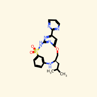 CC(C)C[C@@H]1COc2cc(-c3ncccn3)nc(n2)NS(=O)(=O)c2cccc(c2)N1